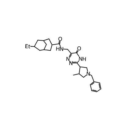 CCC1CC2CC(C1)CC(C(=O)NCc1nnc(C3CN(Cc4ccccc4)CC3C)[nH]c1=O)C2